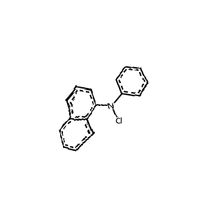 ClN(c1ccccc1)c1cccc2ccccc12